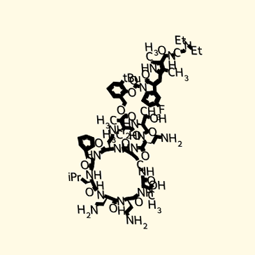 CCN(CC)CCNC(=O)c1c(C)[nH]c(/C=C2\C(=O)N(C(=O)Oc3c(COC(=O)C(C)C(C)C(=O)N[C@H](C(=O)N[C@H](CCN)C(=O)N[C@H]4CCNC(=O)[C@@H]([C@@H](C)O)NC(=O)[C@@H](CCN)NC(=O)[C@@H](CCN)NC(=O)[C@@H](CC(C)C)NC(=O)[C@@H](Cc5ccccc5)NC(=O)[C@@H](CCN)NC4=O)[C@@H](C)O)cccc3C(C)(C)C)c3ccc(F)cc32)c1C